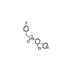 O=C1C(Cc2ccc(F)cc2)CN1c1ccc2c(c1)COc1cnccc1-2